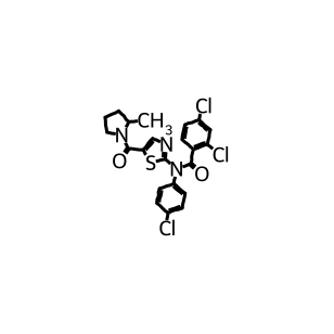 CC1CCCN1C(=O)c1cnc(N(C(=O)c2ccc(Cl)cc2Cl)c2ccc(Cl)cc2)s1